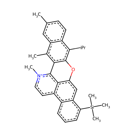 Cc1ccc2c(C(C)C)c3c(c(C)c2c1)-c1c2c(cc4c([Si](C)(C)C)cccc4c2cc[n+]1C)O3